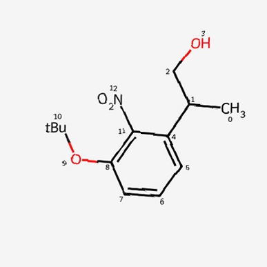 C[C](CO)c1cccc(OC(C)(C)C)c1[N+](=O)[O-]